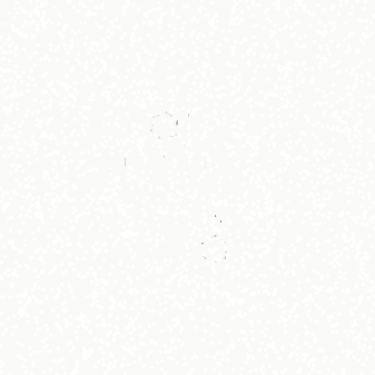 COc1cccc2c1OC(CNCC1CCN(c3cccc4c3OCC4)CC1)CO2